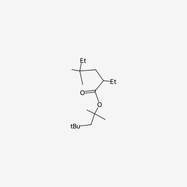 CCC(CC(C)(C)CC)C(=O)OC(C)(C)CC(C)(C)C